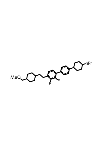 CCCC1CCC(c2ccc(-c3ccc(CCC4CCC(COC)CC4)c(F)c3F)cc2)CC1